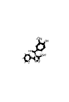 N=C(c1ccc(O)c(O)c1)n1c(S)nnc1-c1ccccn1